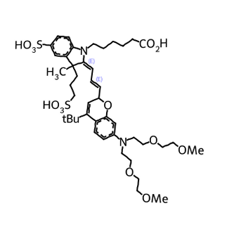 COCCOCCN(CCOCCOC)c1ccc2c(c1)OC(/C=C/C=C1/N(CCCCCC(=O)O)c3ccc(S(=O)(=O)O)cc3C1(C)CCCS(=O)(=O)O)C=C2C(C)(C)C